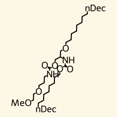 CCCCCCCCCCCCCCCCCCOCC(COC(=O)NCCCOCCOC)NC(=O)OCCCCCCCCCCCCCCCCCC